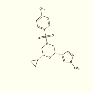 Cc1ccc(S(=O)(=O)N2C[C@@H](C3CC3)O[C@@H](c3cnn(C)c3)C2)cc1